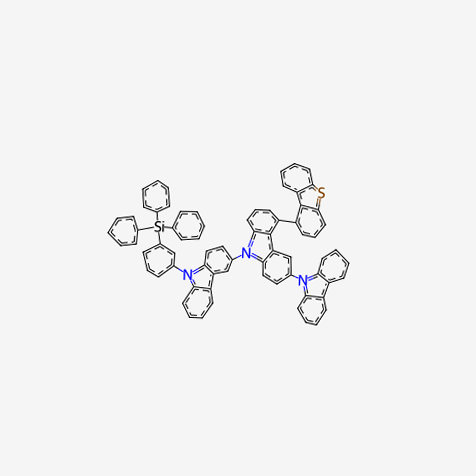 c1ccc([Si](c2ccccc2)(c2ccccc2)c2cccc(-n3c4ccccc4c4cc(-n5c6ccc(-n7c8ccccc8c8ccccc87)cc6c6c(-c7cccc8sc9ccccc9c78)cccc65)ccc43)c2)cc1